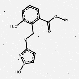 Cc1cccc(C(=O)OC(C)C)c1COc1ccn(O)n1